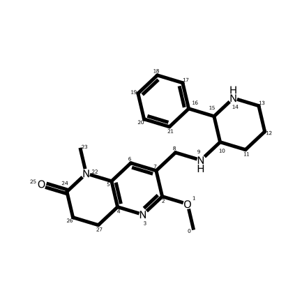 COc1nc2c(cc1CNC1CCCNC1c1ccccc1)N(C)C(=O)CC2